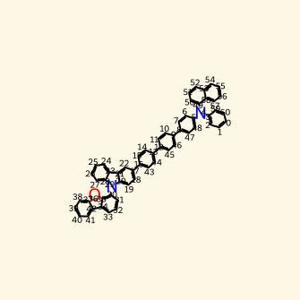 c1ccc(N(c2ccc(-c3ccc(-c4ccc(-c5ccc6c(c5)c5ccccc5n6-c5cccc6c5oc5ccccc56)cc4)cc3)cc2)c2cccc3ccccc23)cc1